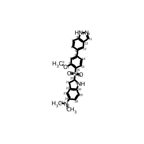 COc1cc(-c2ccc3[nH]ncc3c2)ccc1S(=O)(=O)C1Cc2cc(N(C)C)ccc2N1